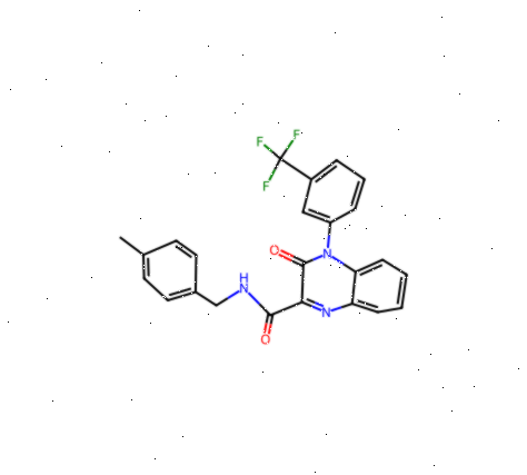 Cc1ccc(CNC(=O)c2nc3ccccc3n(-c3cccc(C(F)(F)F)c3)c2=O)cc1